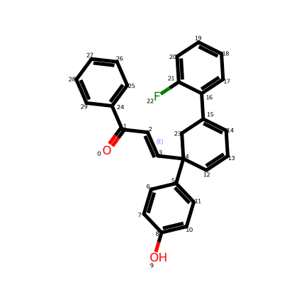 O=C(/C=C/C1(c2ccc(O)cc2)C=CC=C(c2ccccc2F)C1)c1ccccc1